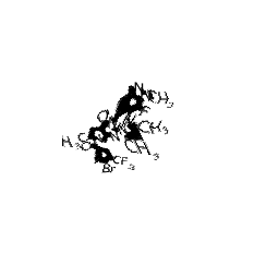 Cc1cc(C)n(-c2nc3c(c(=O)n2-c2cc(F)c4c(cnn4C)c2)CC(C)N(C(=O)c2ccc(Br)c(C(F)(F)F)c2)C3)n1